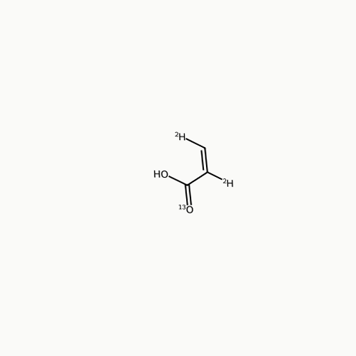 [2H]/C=C(/[2H])C(O)=[13O]